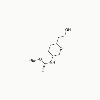 CC(C)(C)OC(=O)NC1CCC(CCO)OC1